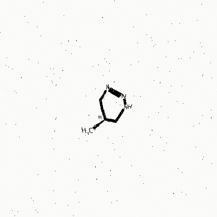 C[C@H]1CN=NNC1